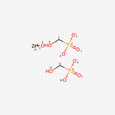 O.O=P([O-])([O-])CO.O=P([O-])([O-])CO.[Zr+4]